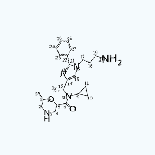 C[C@@H]1CNC[C@H](C(=O)N(C2CC2)[C@H](C)c2cn(CCCN)c(-c3ccccc3)n2)O1